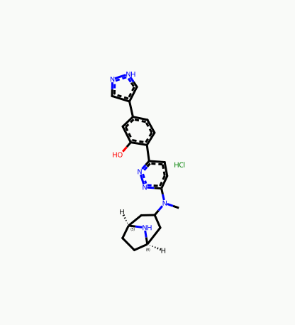 CN(c1ccc(-c2ccc(-c3cn[nH]c3)cc2O)nn1)C1C[C@H]2CC[C@@H](C1)N2.Cl